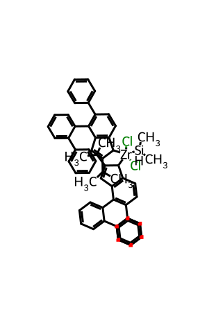 CC(C)C1=Cc2c(ccc(-c3ccccc3)c2-c2ccccc2-c2ccccc2)[CH]1[Zr]([Cl])([Cl])([CH]1C(C(C)C)=Cc2c1ccc(-c1ccccc1)c2-c1ccccc1-c1ccccc1)[SiH](C)C